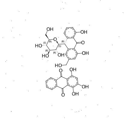 O=C1c2c(O)cccc2[C@@H]([C@@H]2O[C@H](CO)[C@@H](O)[C@H](O)[C@H]2O)c2cc(CO)cc(O)c21.O=C1c2ccccc2C(=O)c2c(O)c(O)cc(O)c21